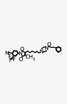 CC1=C(CCCCCCN2CCN(C(=O)CCc3ccccc3)CC2)C(=O)N(c2ccc(C#N)c(C(F)(F)F)c2)C1=O